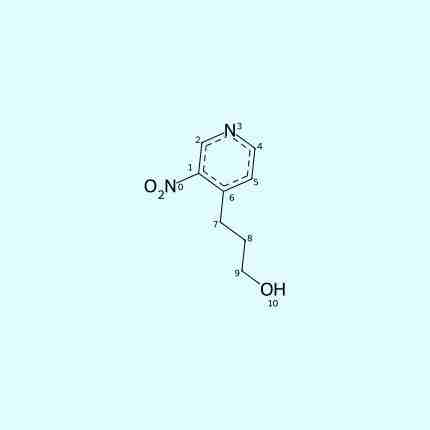 O=[N+]([O-])c1cnccc1CCCO